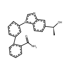 C[C@H](O)c1ccc2c(c1)ncn2-c1cccc(-c2ccccc2C(N)=O)c1